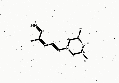 C/C(C=N)=C/C=C/N1C[C@@H](C)O[C@@H](C)C1